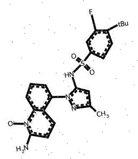 Cc1cc(NS(=O)(=O)c2ccc(C(C)(C)C)c(F)c2)n(-c2cccc3c2ccc(N)[n+]3[O-])n1